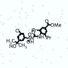 COC(=O)c1cc(C(C)C)c(NC(=O)NS(=O)(=O)c2cc(Cl)cc(C(C)(C)O)c2)c(C(C)C)c1